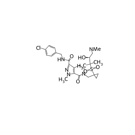 CNC[C@H](O)C(C)(C)S(=O)(=O)C1(CN2CCc3c(C(=O)NCc4ccc(Cl)cc4)nn(C)c3C2=O)CC1